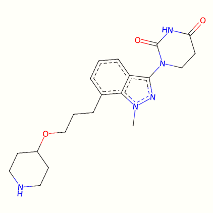 Cn1nc(N2CCC(=O)NC2=O)c2cccc(CCCOC3CCNCC3)c21